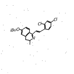 CC(C)COc1ccc2c(c1)CC(C)N=C2/C=C/c1ccc(Cl)cc1Cl